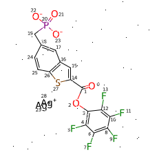 O=C(Oc1c(F)c(F)c(F)c(F)c1F)c1cc2cc(CP(=O)([O-])[O-])ccc2s1.[Ag+].[Ag+]